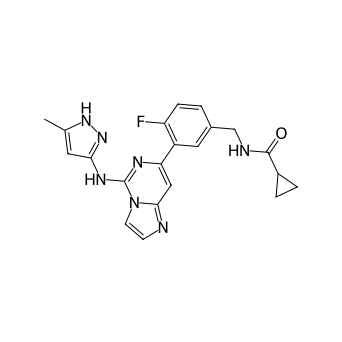 Cc1cc(Nc2nc(-c3cc(CNC(=O)C4CC4)ccc3F)cc3nccn23)n[nH]1